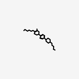 CCCCCCC1=C(C)CC(c2ccc(C3CCC(CCCCC)CC3)cc2)CC1